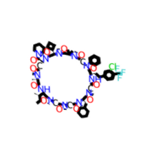 CC[C@H](C)[C@@H]1NC(=O)[C@H](C)N(C)C(=O)C[C@@H](C(=O)N2CCCCC2)N(C)C(=O)[C@H](C2CCC2)N(C)C(=O)C(C)(C)N(C)C(=O)CN(c2ccccc2)C(=O)[C@H](CCc2ccc(C(F)(F)F)c(Cl)c2)NC(=O)CN(C)C(=O)[C@H](CC2CCCCC2)N(C)C(=O)CN(C)C(=O)CN(C)C1=O